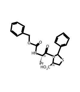 CC(C)[C@H](NC(=O)OCc1ccccc1)C(=O)N1C(c2ccccc2)SC[C@H]1C(=O)O